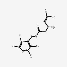 CC(C)[C@H](C=C(Cl)Cl)CC(=O)OCc1c(F)c(F)cc(F)c1F